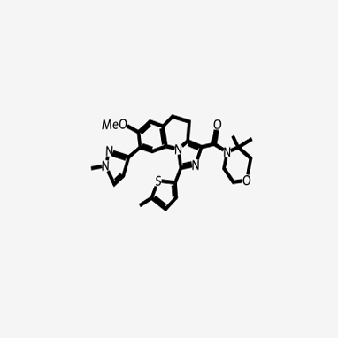 COc1cc2c(cc1-c1ccn(C)n1)-n1c(-c3ccc(C)s3)nc(C(=O)N3CCOCC3(C)C)c1CC2